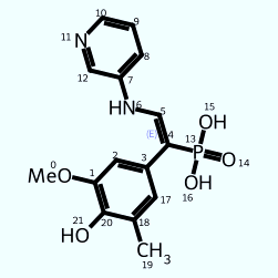 COc1cc(/C(=C\Nc2cccnc2)P(=O)(O)O)cc(C)c1O